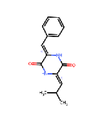 CC(C)/C=c1\[nH]c(=O)/c(=C/c2ccccc2)[nH]c1=O